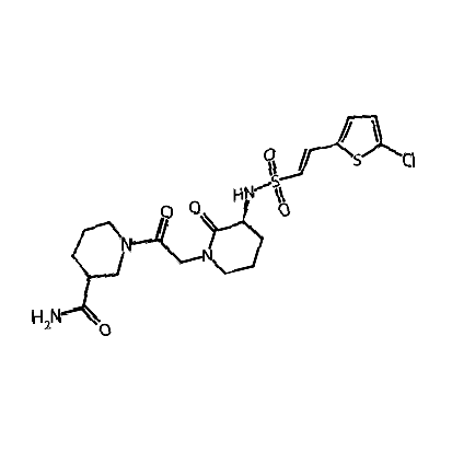 NC(=O)C1CCCN(C(=O)CN2CCC[C@H](NS(=O)(=O)/C=C/c3ccc(Cl)s3)C2=O)C1